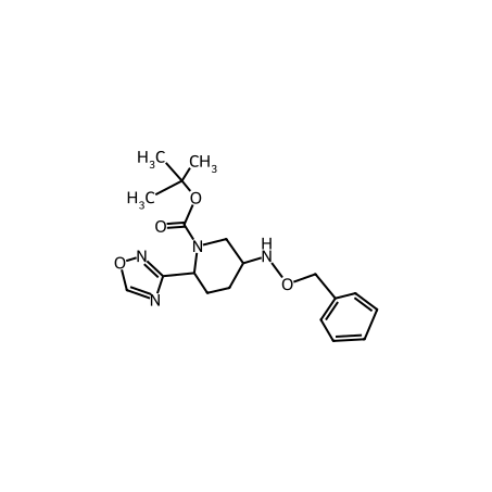 CC(C)(C)OC(=O)N1CC(NOCc2ccccc2)CCC1c1ncon1